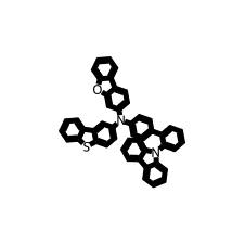 c1ccc(-n2c3ccccc3c3ccccc32)c(-c2ccc(N(c3ccc4c(c3)oc3ccccc34)c3ccc4sc5ccccc5c4c3)cc2)c1